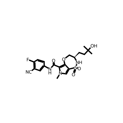 Cn1cc2c(c1C(=O)Nc1ccc(F)c(C#N)c1)OC[C@@H](CCC(C)(C)O)NS2(=O)=O